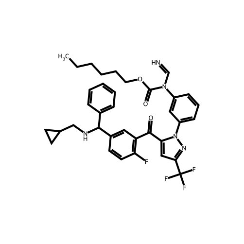 CCCCCCOC(=O)N(C=N)c1cccc(-n2nc(C(F)(F)F)cc2C(=O)c2cc(C(NCC3CC3)c3ccccc3)ccc2F)c1